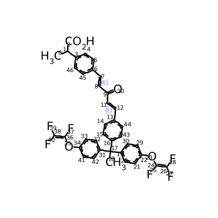 CC(C(=O)O)c1ccc(/C=C/C(=O)/C=C/c2ccc(C(C)(c3ccc(OC(F)=C(F)F)cc3)c3ccc(OC(F)=C(F)F)cc3)cc2)cc1